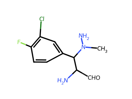 CN(N)C(c1ccc(F)c(Cl)c1)C(N)C=O